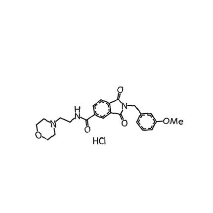 COc1cccc(CN2C(=O)c3ccc(C(=O)NCCN4CCOCC4)cc3C2=O)c1.Cl